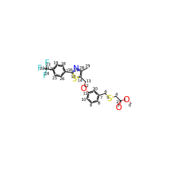 COC(=O)CSCc1cccc(OCc2sc(-c3ccc(C(F)(F)F)cc3)nc2C)c1